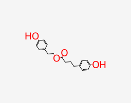 O=C(CCCc1ccc(O)cc1)OCCc1ccc(O)cc1